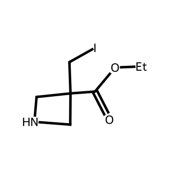 CCOC(=O)C1(CI)CNC1